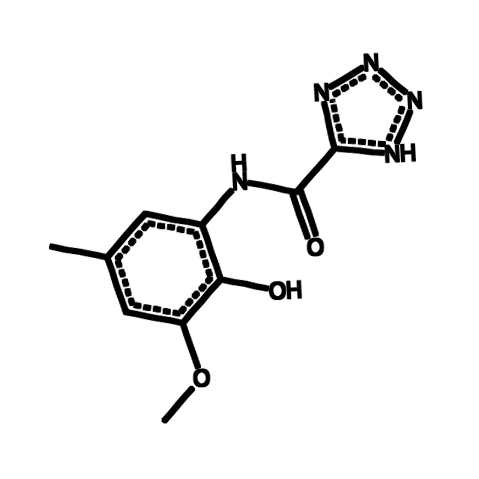 COc1cc(C)cc(NC(=O)c2nnn[nH]2)c1O